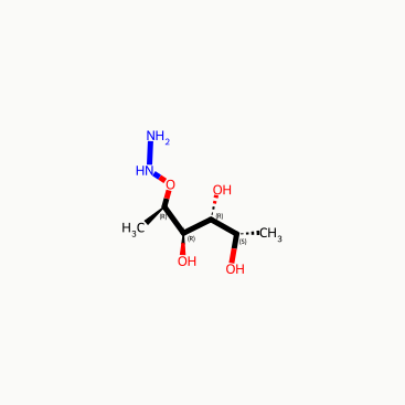 C[C@H](O)[C@@H](O)[C@@H](O)[C@@H](C)ONN